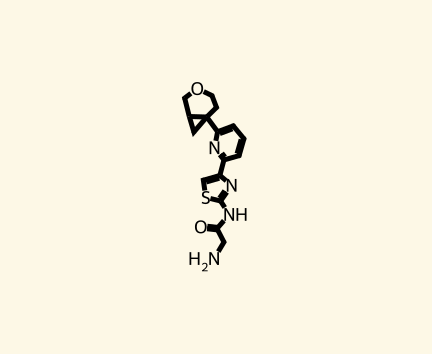 NCC(=O)Nc1nc(-c2cccc(C34CCOCC3C4)n2)cs1